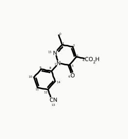 Cc1cc(C(=O)O)c(=O)n(-c2cccc(C#N)c2)n1